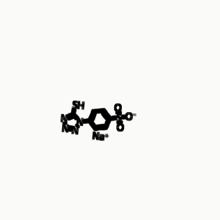 O=S(=O)([O-])c1ccc(-n2nnnc2S)cc1.[Na+]